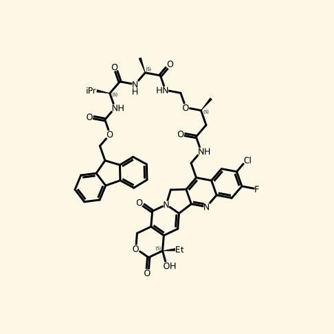 CC[C@@]1(O)C(=O)OCc2c1cc1n(c2=O)Cc2c-1nc1cc(F)c(Cl)cc1c2CNC(=O)C[C@H](C)OCNC(=O)[C@H](C)NC(=O)[C@@H](NC(=O)OCC1c2ccccc2-c2ccccc21)C(C)C